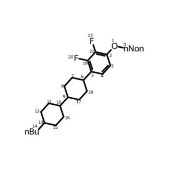 CCCCCCCCCOc1ccc(C2CCC(C3CCC(CCCC)CC3)CC2)c(F)c1F